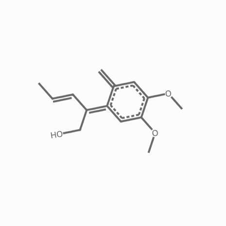 C=c1cc(OC)c(OC)c/c1=C(/C=CC)CO